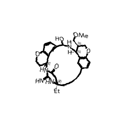 CC[C@]12CCCCc3ccc4c(c3)[C@@H](NC(O)c3ccc5c(c3)[C@@H](CCO5)N(C(=N)N1)C(=O)C2)[C@@H](COC)CO4